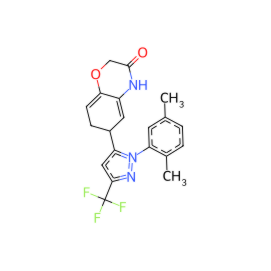 Cc1ccc(C)c(-n2nc(C(F)(F)F)cc2C2C=C3NC(=O)COC3=CC2)c1